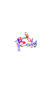 CC(C)CC(NC(=O)Cc1ccc(NC(=O)Nc2ccccc2F)cc1)c1noc(CCC(=O)O)n1